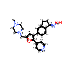 CN1CCN(Cc2cc(-c3ccc4c(c3)CCC4=NO)c(-c3ccncc3)o2)CC1